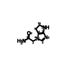 NC(=O)Cn1cnc2c1CCN2